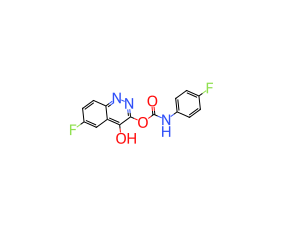 O=C(Nc1ccc(F)cc1)Oc1nnc2ccc(F)cc2c1O